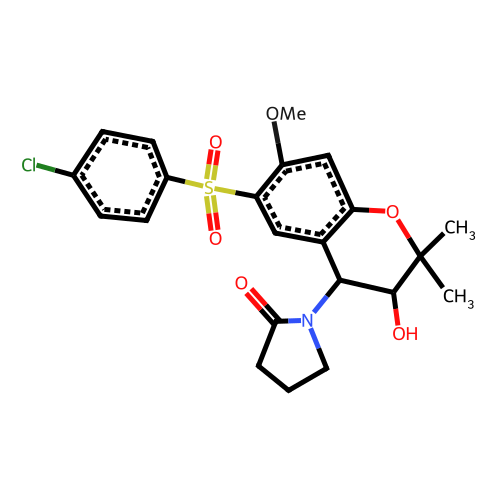 COc1cc2c(cc1S(=O)(=O)c1ccc(Cl)cc1)C(N1CCCC1=O)C(O)C(C)(C)O2